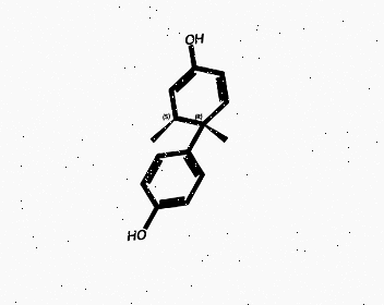 C[C@H]1C=C(O)C=C[C@]1(C)c1ccc(O)cc1